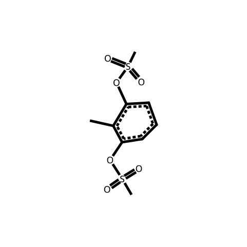 Cc1c(OS(C)(=O)=O)cccc1OS(C)(=O)=O